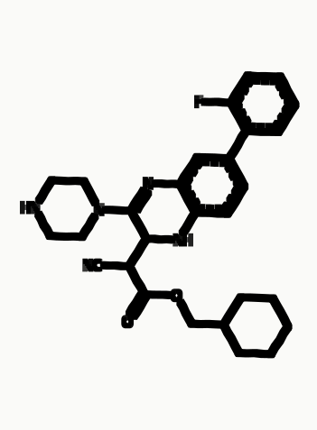 N#CC(C(=O)OCC1CCCCC1)C1Nc2ccc(-c3ccccc3F)cc2N=C1N1CCNCC1